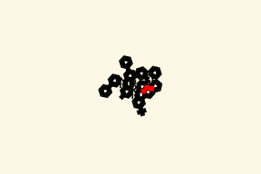 Cc1cc2c3c(c1)N(c1ccc(C(C)(C)C)cc1-c1ccccc1)c1ccc([Si](c4ccccc4)(c4ccccc4)c4ccccc4)cc1B3c1ccc(-c3ccccc3)cc1N2c1cccc(-c2ccccc2)c1